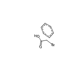 O=C(O)CBr.c1ccccc1